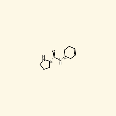 O=C(N[C@H]1CC=CCC1)[C@@H]1CCCN1